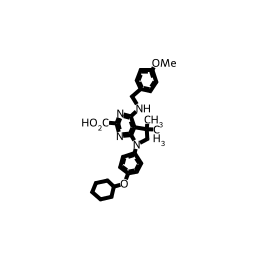 COc1ccc(CNc2nc(C(=O)O)nc3c2C(C)(C)CN3c2ccc(OC3CCCCC3)cc2)cc1